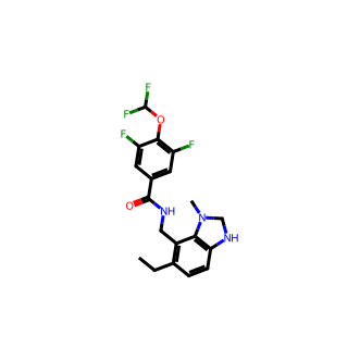 CCc1ccc2c(c1CNC(=O)c1cc(F)c(OC(F)F)c(F)c1)N(C)CN2